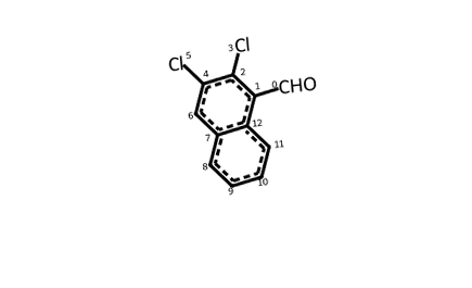 O=Cc1c(Cl)c(Cl)cc2ccccc12